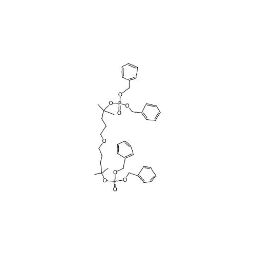 CC(C)(CCCOCCCC(C)(C)OP(=O)(OCc1ccccc1)OCc1ccccc1)OP(=O)(OCc1ccccc1)OCc1ccccc1